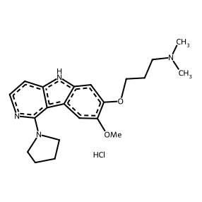 COc1cc2c(cc1OCCCN(C)C)[nH]c1ccnc(N3CCCC3)c12.Cl